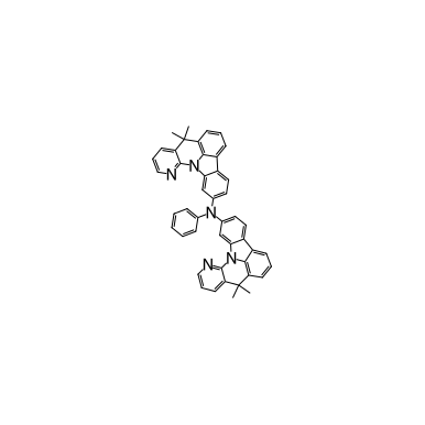 CC1(C)c2cccnc2-n2c3cc(N(c4ccccc4)c4ccc5c6cccc7c6n(c5c4)-c4ncccc4C7(C)C)ccc3c3cccc1c32